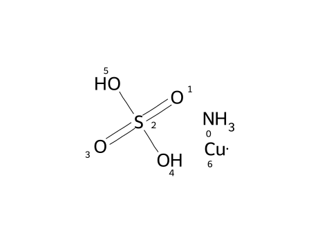 N.O=S(=O)(O)O.[Cu]